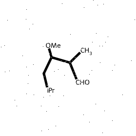 COC(CC(C)C)C(C)C=O